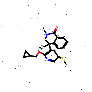 CCSC1C=NC(OCC2CC2)=C(C2(C)CN(C)C(=O)c3ccccc32)C1